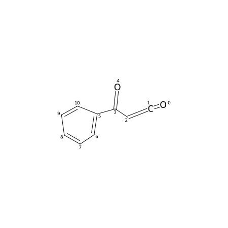 O=C=CC(=O)c1ccccc1